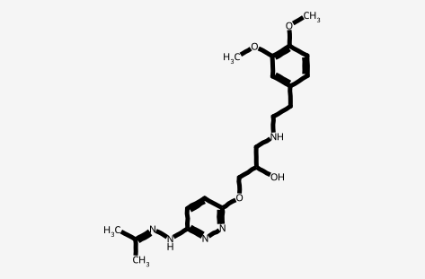 COc1ccc(CCNCC(O)COc2ccc(NN=C(C)C)nn2)cc1OC